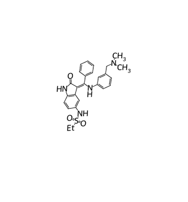 CCS(=O)(=O)Nc1ccc2c(c1)C(=C(Nc1cccc(CN(C)C)c1)c1ccccc1)C(=O)N2